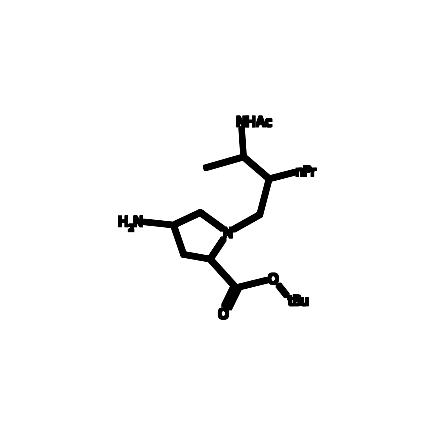 CCCC(CN1CC(N)CC1C(=O)OC(C)(C)C)C(C)NC(C)=O